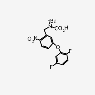 CC(C)(C)N(Cc1cc(Oc2cc(F)ccc2F)ccc1[N+](=O)[O-])C(=O)O